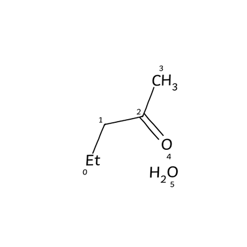 CCCC(C)=O.O